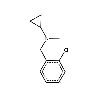 CN(Cc1cc[c]cc1Cl)C1CC1